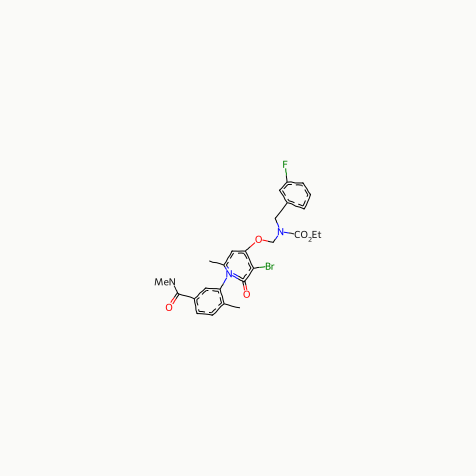 CCOC(=O)N(COc1cc(C)n(-c2cc(C(=O)NC)ccc2C)c(=O)c1Br)Cc1cccc(F)c1